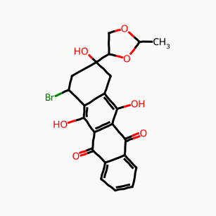 CC1OCC(C2(O)Cc3c(O)c4c(c(O)c3C(Br)C2)C(=O)c2ccccc2C4=O)O1